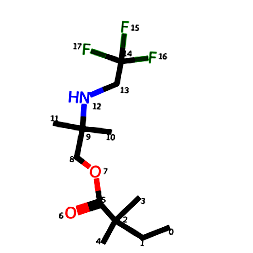 CCC(C)(C)C(=O)OCC(C)(C)NCC(F)(F)F